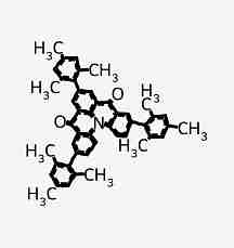 Cc1cc(C)c(-c2ccc3c(c2)c(=O)c2cc(-c4c(C)cc(C)cc4C)cc4c(=O)c5cc(-c6c(C)cc(C)cc6C)ccc5n3c24)c(C)c1